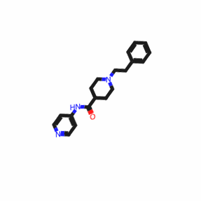 O=C(Nc1ccncc1)C1CCN(CCc2ccccc2)CC1